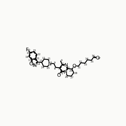 Cc1nc2n(c(=O)c1CCN1CCC(c3noc4cc(F)ccc34)CC1)CCCC2OCCCCCC=O